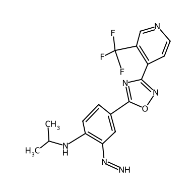 CC(C)Nc1ccc(-c2nc(-c3ccncc3C(F)(F)F)no2)cc1N=N